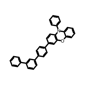 c1ccc(-c2cccc(-c3ccc(-c4ccc5c(c4)Oc4ccccc4N5c4ccccc4)cc3)c2)cc1